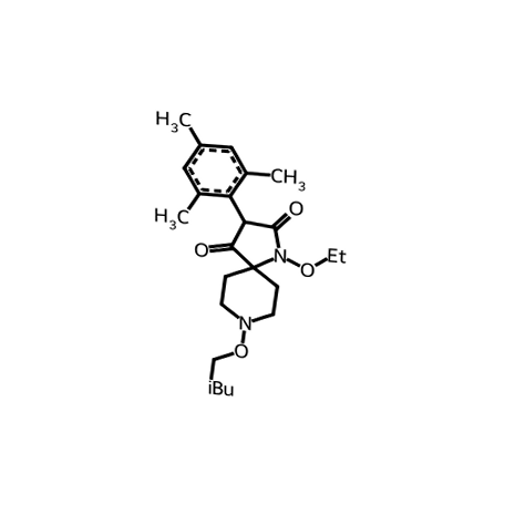 CCON1C(=O)C(c2c(C)cc(C)cc2C)C(=O)C12CCN(OCC(C)CC)CC2